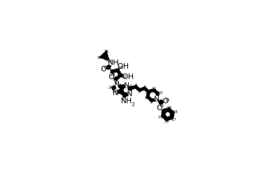 Nc1nc(CCCC2CCN(C(=O)Oc3ccccc3)CC2)nc2c1ncn2[C@@H]1O[C@H](C(=O)NC2CC2)[C@H](O)C1O